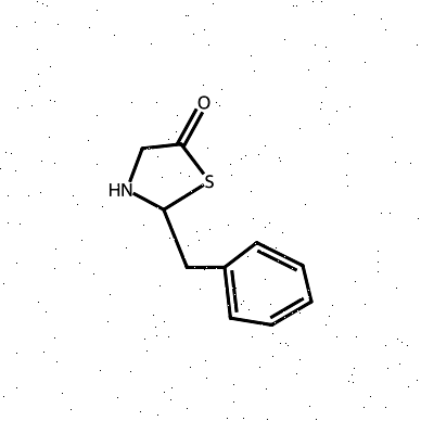 O=C1CNC(Cc2ccccc2)S1